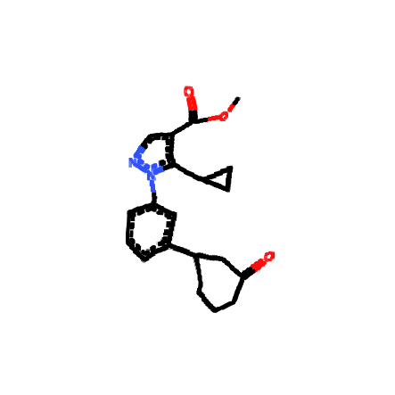 COC(=O)c1cnn(-c2cccc(C3CCCC(=O)C3)c2)c1C1CC1